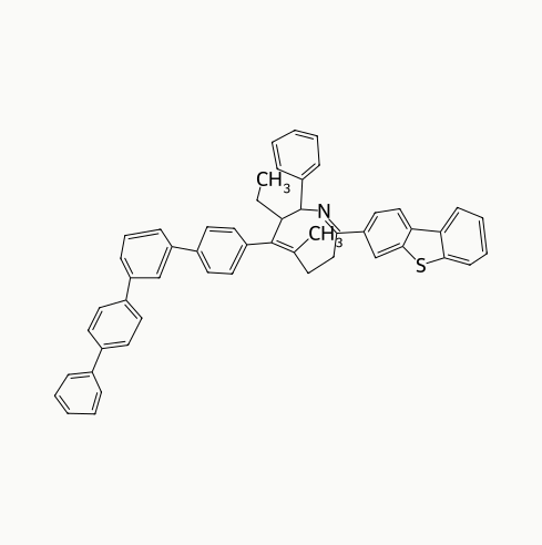 CCC1/C(c2ccc(-c3cccc(-c4ccc(-c5ccccc5)cc4)c3)cc2)=C(\C)CC/C(c2ccc3c(c2)sc2ccccc23)=N\C1c1ccccc1